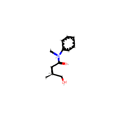 C[C@H](CO)CC(=O)N(C)c1ccccc1